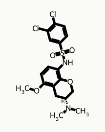 COc1ccc(NS(=O)(=O)c2ccc(Cl)c(Cl)c2)c2c1C[C@@H](N(C)C)CO2